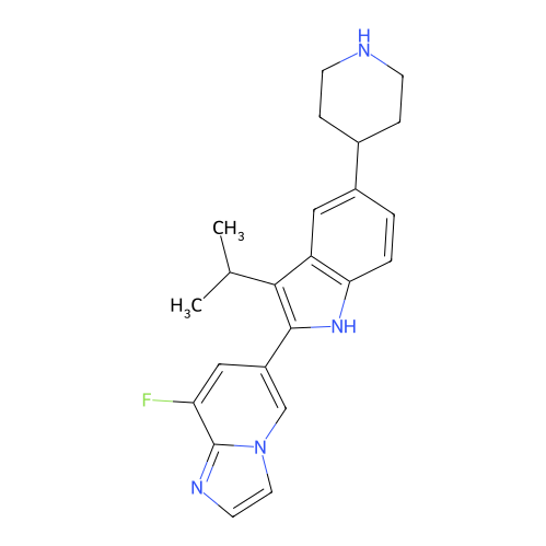 CC(C)c1c(-c2cc(F)c3nccn3c2)[nH]c2ccc(C3CCNCC3)cc12